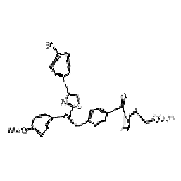 COc1ccc(N(Cc2ccc(C(=O)NCCC(=O)O)cc2)c2nc(-c3ccc(Br)cc3)cs2)cc1